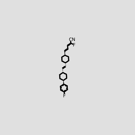 N#CC(F)=CC=C[C@H]1CC[C@H](/C=C/[C@H]2CC[C@H](c3ccc(F)cc3)CC2)CC1